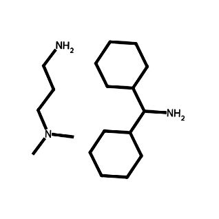 CN(C)CCCN.NC(C1CCCCC1)C1CCCCC1